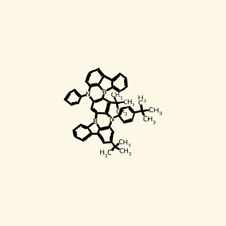 CC(C)(C)c1ccc(N2c3cc(C(C)(C)C)cc4c3B(c3ccccc3-4)c3cc4c(c(C(C)(C)C)c32)B2c3ccccc3-c3cccc(c32)N4c2ccccc2)cc1